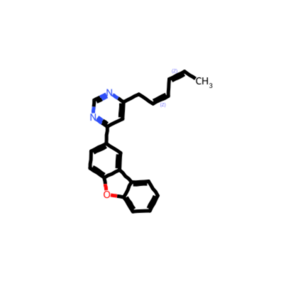 C/C=C\C=C/Cc1cc(-c2ccc3oc4ccccc4c3c2)ncn1